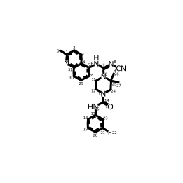 Cc1ccc2c(N/C(=N/C#N)N3CCN(C(=O)Nc4cccc(F)c4)CC3(C)C)cccc2n1